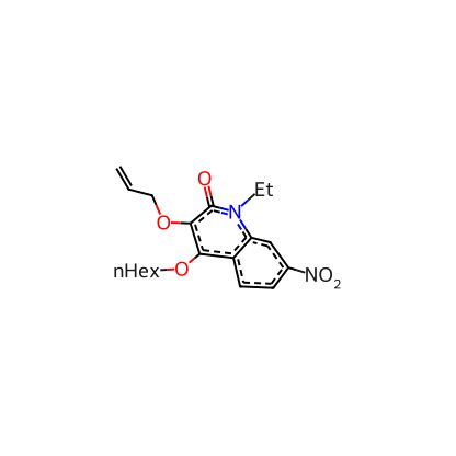 C=CCOc1c(OCCCCCC)c2ccc([N+](=O)[O-])cc2n(CC)c1=O